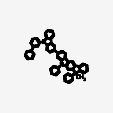 CC1(c2ccccc2)c2ccccc2-c2cc3c4ccc(-c5ccc6c(c5)c5ccccc5n6-c5cccc(-c6ccccc6)c5)cc4n(-c4ccccc4)c3cc21